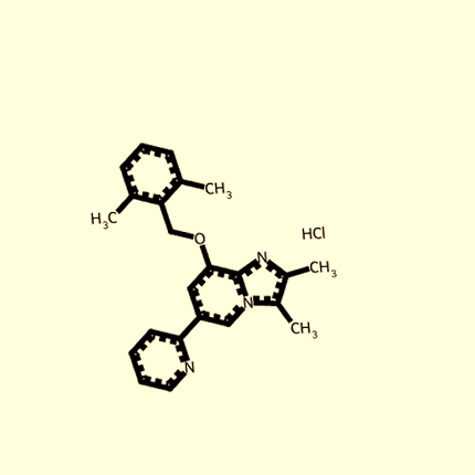 Cc1cccc(C)c1COc1cc(-c2ccccn2)cn2c(C)c(C)nc12.Cl